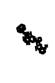 O=C(OCc1c(F)cccc1F)N1CCc2c(ncnc2NCC23CC4CC(CC(C4)C2)C3)C1